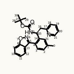 Cc1ccc(-c2noc3ccccc23)c([C@H](Cc2ccccn2)NC(=O)OC(C)(C)C)c1